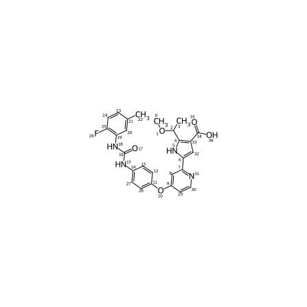 COC(C)c1[nH]c(-c2cc(Oc3ccc(NC(=O)Nc4cc(C)ccc4F)cc3)ccn2)cc1C(=O)O